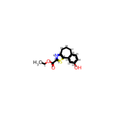 CCOC(=O)c1nc2c(s1)-c1cc(O)ccc1CCC2